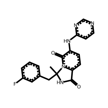 CC1(Cc2cccc(F)c2)NC(=O)c2ccc(Nc3ccncn3)c(=O)n21